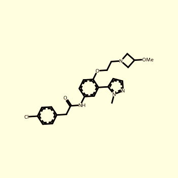 COC1CN(CCOc2ccc(NC(=O)Cc3ccc(Cl)cc3)cc2-c2ccnn2C)C1